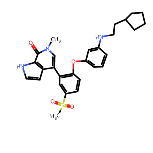 Cn1cc(-c2cc(S(C)(=O)=O)ccc2Oc2cccc(NCCC3CCCC3)c2)c2cc[nH]c2c1=O